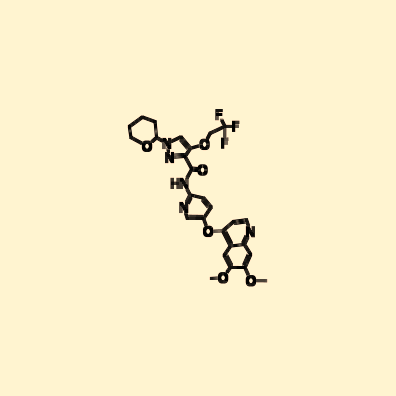 COc1cc2nccc(Oc3ccc(NC(=O)c4nn(C5CCCCO5)cc4OCC(F)(F)F)nc3)c2cc1OC